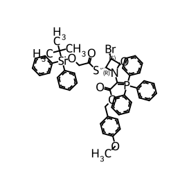 COc1ccc(COC(=O)C(N2C(=O)[C@H](Br)[C@H]2SC(=O)CO[Si](c2ccccc2)(c2ccccc2)C(C)(C)C)=P(c2ccccc2)(c2ccccc2)c2ccccc2)cc1